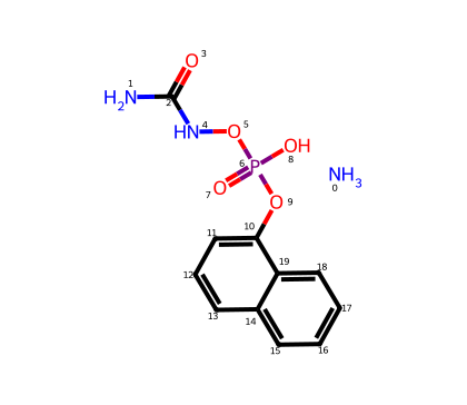 N.NC(=O)NOP(=O)(O)Oc1cccc2ccccc12